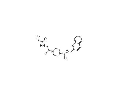 O=C(CBr)NCC(=O)N1CCN(C(=O)OCc2ccc3ccccc3c2)CC1